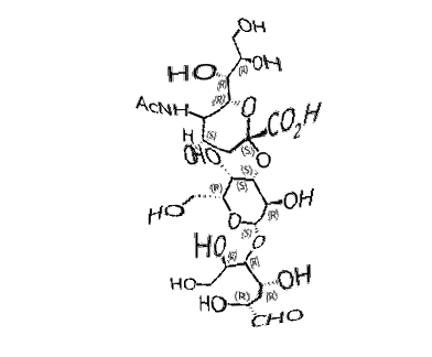 CC(=O)NC1[C@H]([C@H](O)[C@H](O)CO)O[C@@](O[C@H]2[C@@H](O)[C@@H](CO)O[C@@H](O[C@@H]([C@H](O)[C@@H](O)C=O)[C@H](O)CO)[C@@H]2O)(C(=O)O)C[C@@H]1O